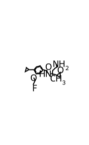 CC(CC(N)=O)(NC(=O)c1ccc(C2CC2)c(OCCF)c1)C1CC1